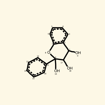 OC1c2ccccc2OC(O)(c2ccccc2)C1O